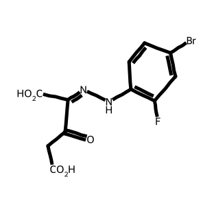 O=C(O)CC(=O)C(=NNc1ccc(Br)cc1F)C(=O)O